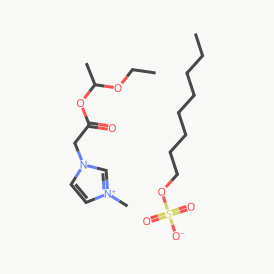 CCCCCCCCOS(=O)(=O)[O-].CCOC(C)OC(=O)Cn1cc[n+](C)c1